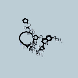 COc1ccc2c(O[C@@H]3C[C@H]4C(=O)N[C@]5(C(=O)O)C[C@H]5/C=C\CCCCC[C@H](NC(=O)OC5CCCC5)C(=O)N4C3)cc(-c3csc(N(C)C)n3)nc2c1